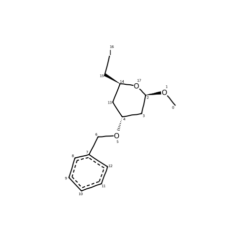 CO[C@H]1C[C@H](OCc2ccccc2)C[C@@H](CI)O1